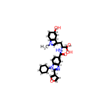 Cn1cc(CC(NC(=O)c2ccc3c(c2)nc(-c2ccoc2)n3C2CCCCC2)C(=O)O)c2cc(O)ccc21